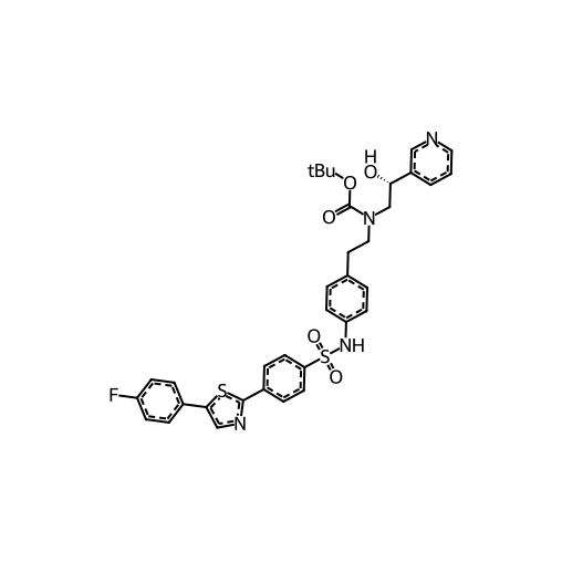 CC(C)(C)OC(=O)N(CCc1ccc(NS(=O)(=O)c2ccc(-c3ncc(-c4ccc(F)cc4)s3)cc2)cc1)C[C@H](O)c1cccnc1